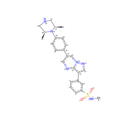 CCNS(=O)(=O)c1cccc(-c2cnn3cc(-c4ccc(N5[C@H](C)CNC[C@@H]5C)cc4)cnc23)c1